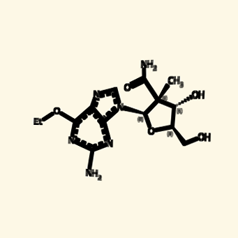 CCOc1nc(N)nc2c1ncn2[C@@H]1O[C@H](CO)[C@@H](O)[C@@]1(C)C(N)=O